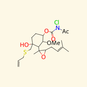 C=CCSCC1(O)CCC(OC(=O)N(Cl)C(C)=O)C(OC)C1C1(C)OC1CC=C(C)C